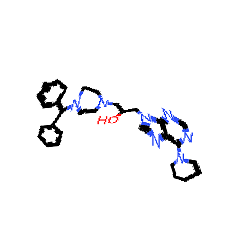 OC(CN1CCN(C(c2ccccc2)c2ccccc2)CC1)Cn1cnc2c(N3CCCCC3)ncnc21